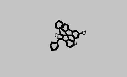 Clc1cc(Cl)c2c(c1)-c1ccccc1C21c2ccccc2-c2c(-c3ccccc3)oc(-c3ccccc3)c21